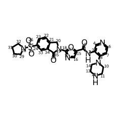 O=C(Nc1cnccc1N1CCNCC1)c1cnc(N2Cc3ccc(S(=O)(=O)N4CCCC4)cc3C2=O)o1